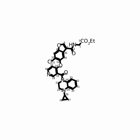 CCOC(=O)CNC(=O)c1coc2cc(Cl)c(Oc3ccncc3C(=O)N3CCN(C4CC4)c4ccccc43)cc12